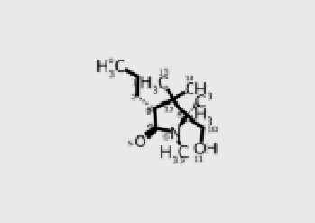 CCC[C@H]1C(=O)N(C)[C@](C)(CO)C1(C)C